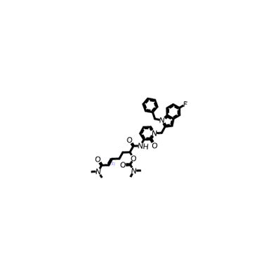 CN(C)C(=O)/C=C/CCC(OC(=O)N(C)C)C(=O)Nc1cccn(Cc2cc3cc(F)ccc3n2Cc2ccccc2)c1=O